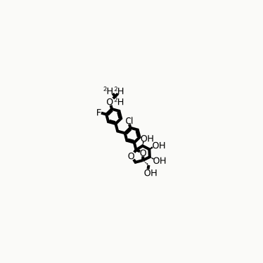 [2H]C([2H])([2H])Oc1ccc(Cc2cc(C34OC[C@@](CO)(O3)[C@@H](O)[C@H](O)[C@H]4O)ccc2Cl)cc1F